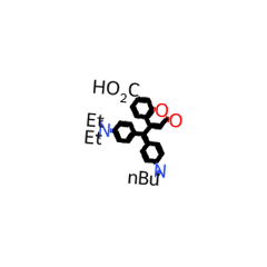 CCCCN=C1C=CC(=C(c2ccc(N(CC)CC)cc2)c2cc(=O)oc3cc(C(=O)O)ccc23)C=C1